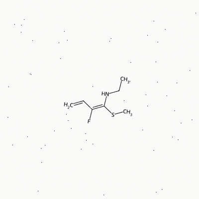 C=C/C(F)=C(\NCC)SC